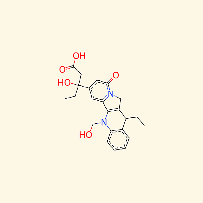 CCC1C2=C(c3cc(C(O)(CC)CC(=O)O)cc(=O)n3C2)N(CO)c2ccccc21